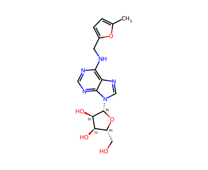 Cc1ccc(CNc2ncnc3c2ncn3[C@@H]2O[C@H](CO)[C@@H](O)[C@H]2O)o1